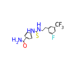 NC(=O)c1ccc(NC(=S)NCCc2cc(F)cc(C(F)(F)F)c2)cc1